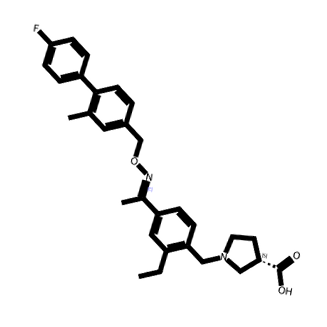 CCc1cc(/C(C)=N/OCc2ccc(-c3ccc(F)cc3)c(C)c2)ccc1CN1CC[C@H](C(=O)O)C1